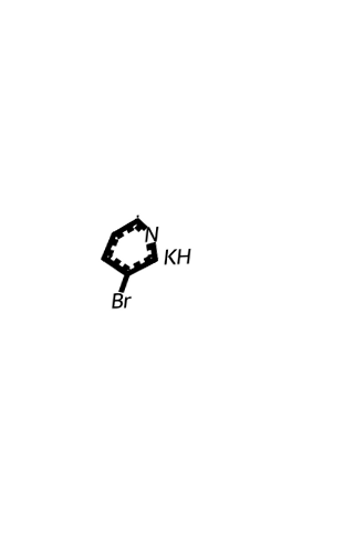 Brc1cc[c]nc1.[KH]